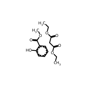 CCOC(=O)CC(=O)OCC.COC(=O)c1ccccc1O